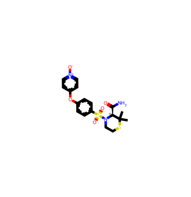 CC1(C)SCCN(S(=O)(=O)c2ccc(Oc3cc[n+]([O-])cc3)cc2)[C@H]1C(N)=O